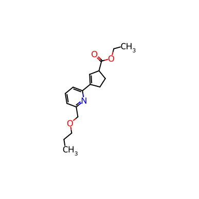 CCCOCc1cccc(C2=CC(C(=O)OCC)CC2)n1